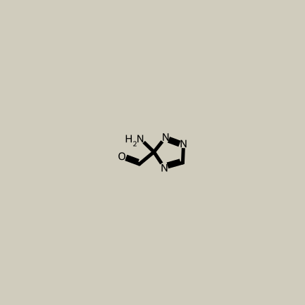 NC1(C=O)N=CN=N1